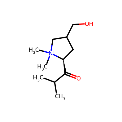 CC(C)C(=O)[C@@H]1CC(CO)C[N+]1(C)C